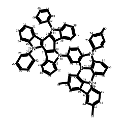 Cc1ccc(N2c3ccc(-n4c5ccccc5c5c6c(c7ccccc7n6-c6ccccc6)c6c(c7ccccc7n6-c6ccccc6)c54)cc3B3c4c2cccc4-n2c4ccc(C)cc4c4cc(C)cc3c42)cc1